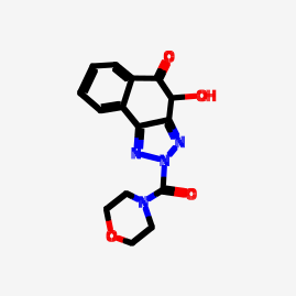 O=C1c2ccccc2-c2nn(C(=O)N3CCOCC3)nc2C1O